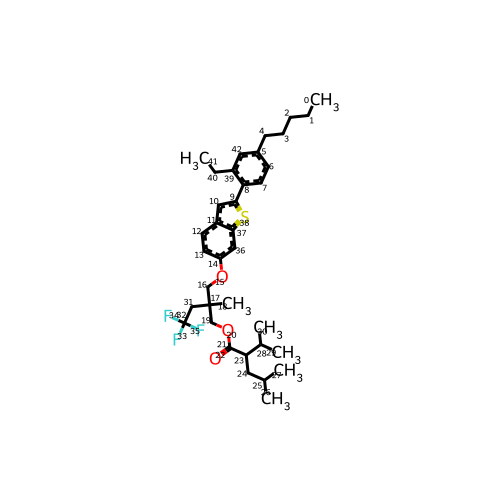 CCCCCc1ccc(-c2cc3ccc(OCC(C)(COC(=O)C(CC(C)C)C(C)C)CC(F)(F)F)cc3s2)c(CC)c1